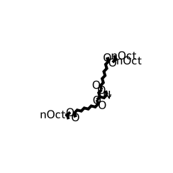 CCCCCCCCC(C)OC(=O)CCCCCCC(=O)OC(COC(=O)CCCCCCC(=O)OC(CCCCCCCC)CCCCCCCC)CN(C)C